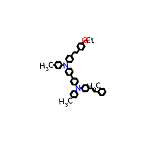 CCOc1ccc(/C=C/c2ccc(N(c3ccc(C)cc3)c3ccc(-c4ccc(N(c5ccc(C)cc5)c5ccc(/C=C/c6ccccc6C)cc5)cc4)cc3)cc2)cc1